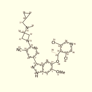 COc1cc2[nH]nc(-c3cnc(N4CC(C)(N(C)CC5CC5)C4)c(C#N)c3)c2cc1O[C@H](C)c1c(Cl)cncc1Cl